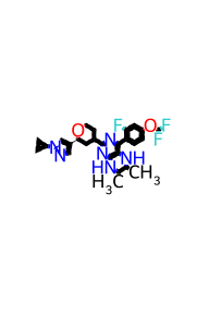 CC1Nc2nc(C3CCO[C@@H](c4cnn(C5CC5)c4)C3)nc(-c3ccc(OC(F)F)cc3F)c2NC1C